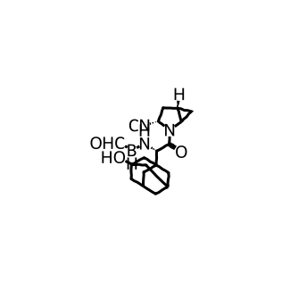 [C-]#[N+][C@@H]1C[C@@H]2CC2N1C(=O)[C@@H](NBC=O)C12CC3CC(CC(O)(C3)C1)C2